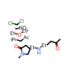 CC(=O)CC(C)C.CCC(C)=O.CCNCC.CCOCC.CN1CCCC1=O.C[N+](=O)[O-].ClCCl